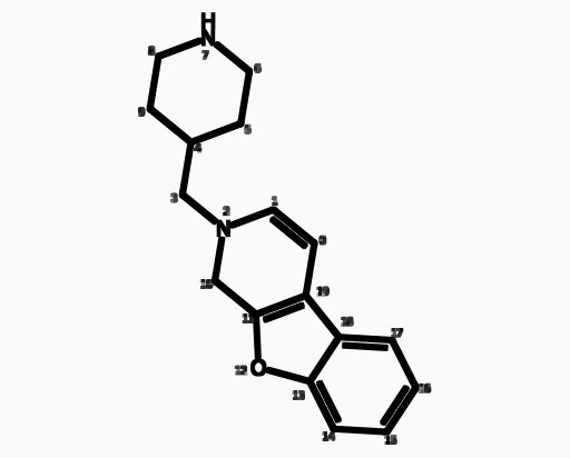 C1=CN(CC2CCNCC2)Cc2oc3ccccc3c21